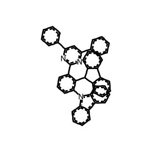 c1ccc(-c2cc(-c3ccccc3)nc(-c3cccc(-n4c5ccccc5c5ccccc54)c3C3c4ccccc4-c4ccccc43)n2)cc1